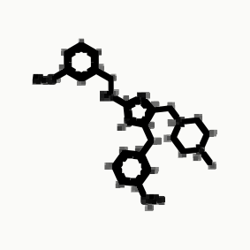 COc1cccc(CNc2nc(CN3CCN(C)CC3)c(Cc3cccc(OC)c3)s2)c1